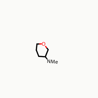 CNC1CCCOC1